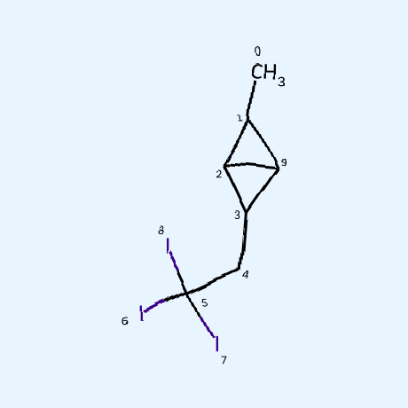 CC1C2C(CC(I)(I)I)C12